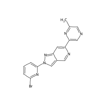 Cc1cncc(-c2cc3nn(-c4cccc(Br)n4)cc3cn2)n1